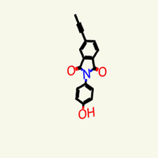 CC#Cc1ccc2c(c1)C(=O)N(c1ccc(O)cc1)C2=O